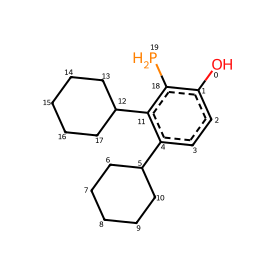 Oc1ccc(C2CCCCC2)c(C2CCCCC2)c1P